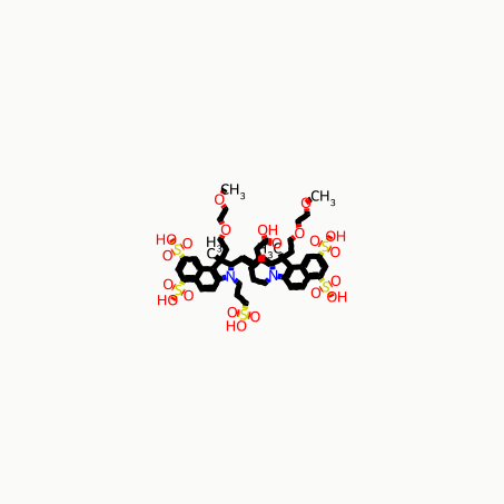 COCCOCCC1(C)C(=CC=CC2N(CCCS(=O)(=O)O)c3ccc4c(S(=O)(=O)O)cc(S(=O)(=O)O)cc4c3C2(C)CCOCCOC)N(CCCCCC(=O)O)c2ccc3c(S(=O)(=O)O)cc(S(=O)(=O)O)cc3c21